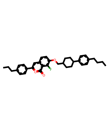 CCCCc1ccc(C2CCC(COc3ccc4cc(-c5ccc(CCC)cc5)oc(=O)c4c3F)CC2)cc1